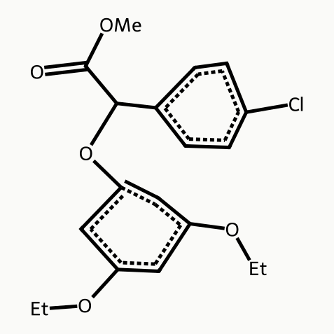 CCOc1cc(OCC)cc(OC(C(=O)OC)c2ccc(Cl)cc2)c1